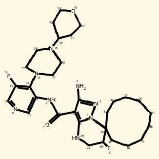 Nc1nn2c(c1C(=O)Nc1cncc(F)c1N1CCN(C3CCOCC3)CC1)NCC(F)C21CCCCCCCCC1